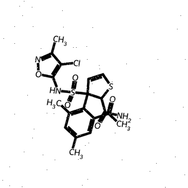 CC(=O)c1cc(C)cc(C)c1C1(S(=O)(=O)Nc2onc(C)c2Cl)C=CSC1C(N)=O